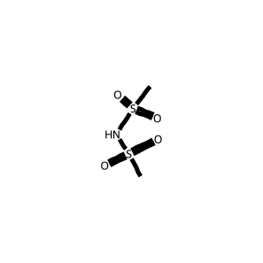 CS(=O)(=O)NS(C)(=O)=O